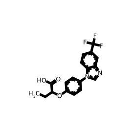 CCC(Oc1ccc(-n2cnc3cc(C(F)(F)F)ccc32)cc1)C(=O)O